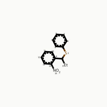 [CH2]CC(Sc1ccccc1)c1ccccc1[N+](=O)[O-]